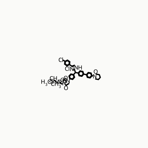 C[Si](C)(C)CCOCN1C(=O)CN(c2ccc(C(c3ccc(-c4ccc(N5CCCCC5=O)cc4)cc3)c3nc(-c4ccc(Cl)cc4Cl)c[nH]3)cc2)S1(=O)=O